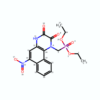 CCOP(=O)(Cn1c(=O)c(=O)[nH]c2cc([N+](=O)[O-])c3ccccc3c21)OCC